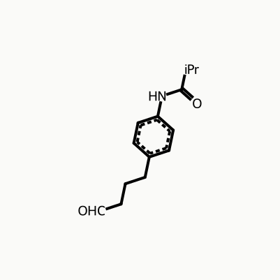 CC(C)C(=O)Nc1ccc(CCCC=O)cc1